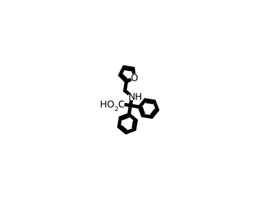 O=C(O)C(NCc1ccco1)(c1ccccc1)c1ccccc1